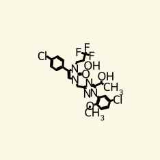 COc1ccc(Cl)cc1-n1nc(Cn2cc(-c3ccc(Cl)cc3)n(CC(O)C(F)(F)F)c2=O)nc1C(C)O